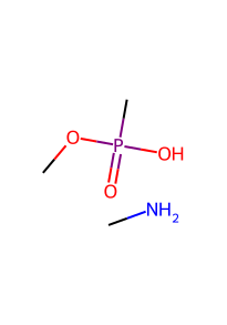 CN.COP(C)(=O)O